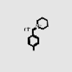 Fc1ccc(C=[N+]2CCCCC2)cc1.[Cl-]